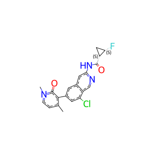 Cc1ccn(C)c(=O)c1-c1cc(Cl)c2cnc(NC(=O)[C@@H]3C[C@@H]3F)cc2c1